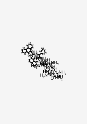 N=C(N)NC(NC(=O)C(NC(=N)N)NC(=O)C(NC(=N)N)NC(=O)C(NC(=N)N)NC(=O)C(NCC(O)N(Cc1cc2ccccc2c2ccccc12)c1ccc2ncccc2c1N)c1ccccc1)C(N)=O